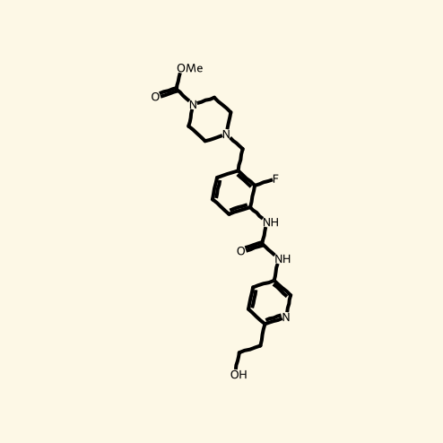 COC(=O)N1CCN(Cc2cccc(NC(=O)Nc3ccc(CCO)nc3)c2F)CC1